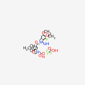 COc1cc2c(c(F)c1OC)C(=N)N(CC(=O)c1cc3c(c(C(C)(C)C)c1)OCCN3CC(=O)O)C2.O=C(O)C(F)(F)F